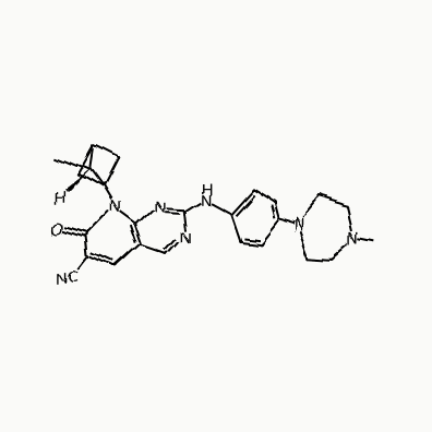 C[C@@H]1C2CC1(n1c(=O)c(C#N)cc3cnc(Nc4ccc(N5CCN(C)CC5)cc4)nc31)C2